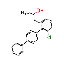 CC(O)Cc1cccc(Cl)c1-c1ccc(-c2ccccc2)cc1